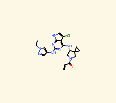 C=CC(=O)N1C[C@H](Nc2nc(Nc3cnn(CC)c3)nc3[nH]cc(Cl)c23)C2(CC2)C1